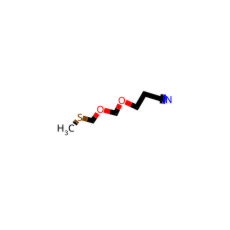 CSCOCOCCC#N